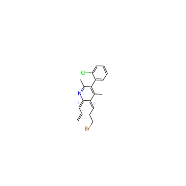 C=C/C=c1/nc(C)c(-c2ccccc2Cl)c(C)/c1=C/CCBr